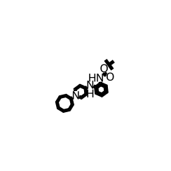 CC(C)(C)OC(=O)Nc1ccccc1NC1CCN(C2CCCCCCC2)CC1